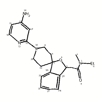 CCN(C)C(=O)C1OC2(CCN(c3cc(N)ccn3)CC2)c2ccccc21